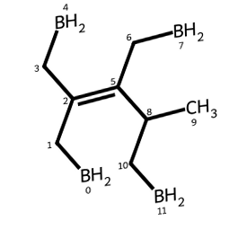 BCC(CB)=C(CB)C(C)CB